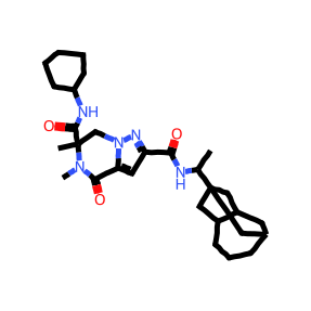 CC(NC(=O)c1cc2n(n1)CC(C)(C(=O)NC1CCCCC1)N(C)C2=O)C12CC3CCCC(C1)C(C3)C2